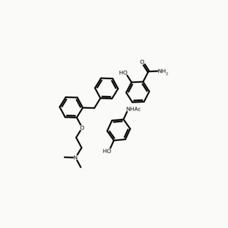 CC(=O)Nc1ccc(O)cc1.CN(C)CCOc1ccccc1Cc1ccccc1.NC(=O)c1ccccc1O